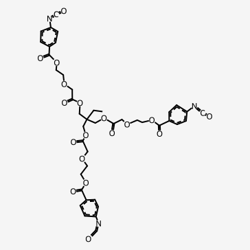 CCC(COC(=O)COCCOC(=O)c1ccc(N=C=O)cc1)(COC(=O)COCCOC(=O)c1ccc(N=C=O)cc1)COC(=O)COCCOC(=O)c1ccc(N=C=O)cc1